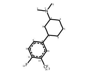 CN(C)C1CCCC(c2ccc(F)c(C(F)(F)F)c2)C1